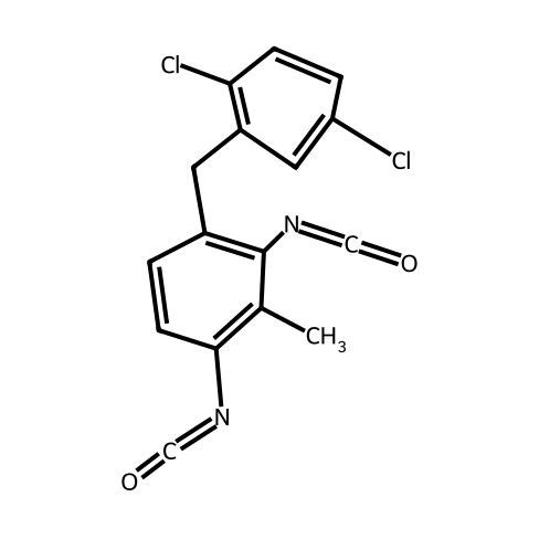 Cc1c(N=C=O)ccc(Cc2cc(Cl)ccc2Cl)c1N=C=O